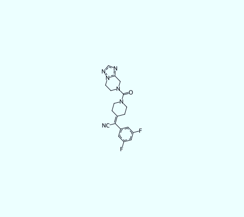 N#CC(=C1CCN(C(=O)N2CCn3ncnc3C2)CC1)c1cc(F)cc(F)c1